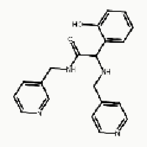 O=C(NCc1cccnc1)C(NCc1ccncc1)c1ccccc1O